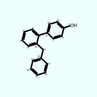 Oc1ccc(-c2ccccc2Cc2ccccc2)cc1